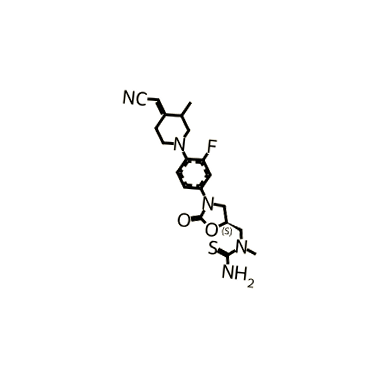 CC1CN(c2ccc(N3C[C@@H](CN(C)C(N)=S)OC3=O)cc2F)CCC1=CC#N